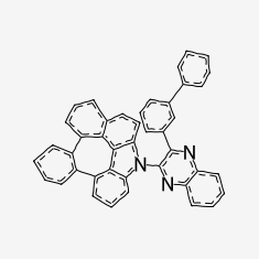 c1ccc(-c2cccc(-c3nc4ccccc4nc3-n3c4cccc5c4c4c6c(cccc6ccc43)-c3ccccc3-5)c2)cc1